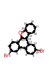 Brc1ccc2c(c1)c1ccc(Br)cc1c1c3ccccc3oc21